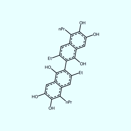 CCCc1c(O)c(O)cc2c(O)c(-c3c(CC)cc4c(CCC)c(O)c(O)cc4c3O)c(CC)cc12